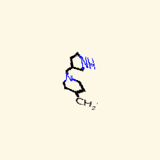 [CH2]C1CCN(CC2CCNC2)CC1